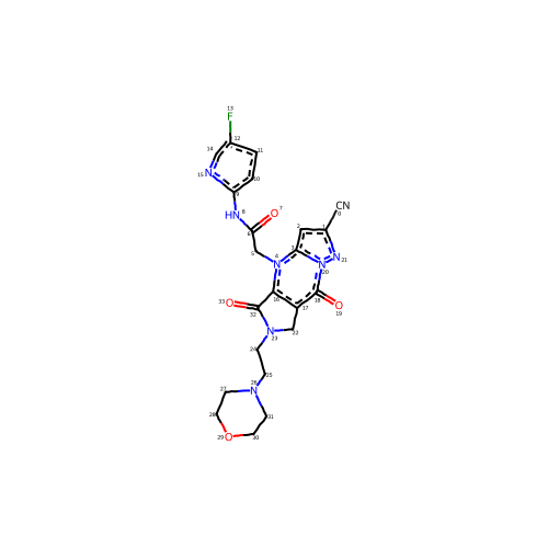 N#Cc1cc2n(CC(=O)Nc3ccc(F)cn3)c3c(c(=O)n2n1)CN(CCN1CCOCC1)C3=O